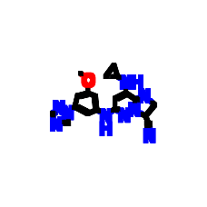 COc1cc(NC2=NN3C(=NCC3C#N)C(NC3CC3)=C2)cc(-n2cncn2)c1